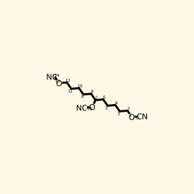 N#COCCCCCC(CCCCCOC#N)OC#N